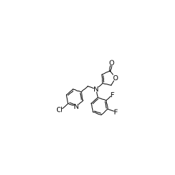 O=C1C=C(N(Cc2ccc(Cl)nc2)c2cccc(F)c2F)CO1